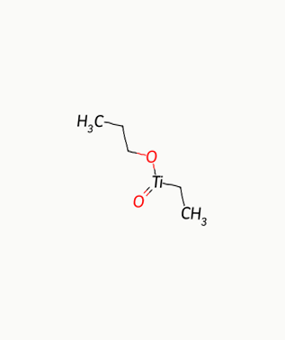 CCC[O][Ti](=[O])[CH2]C